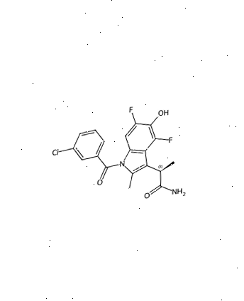 Cc1c([C@@H](C)C(N)=O)c2c(F)c(O)c(F)cc2n1C(=O)c1cccc(Cl)c1